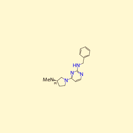 CN[C@@H]1CCN(c2ccnc(NCc3ccccc3)n2)C1